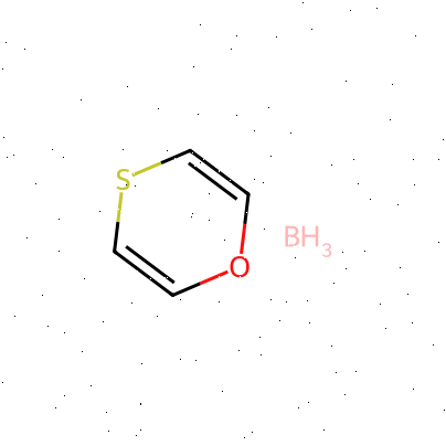 B.C1=CSC=CO1